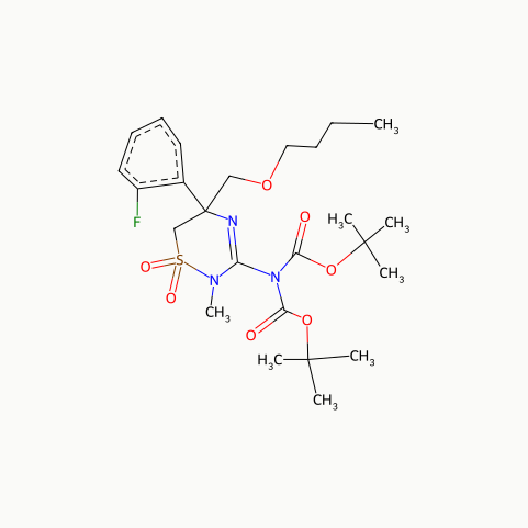 CCCCOCC1(c2ccccc2F)CS(=O)(=O)N(C)C(N(C(=O)OC(C)(C)C)C(=O)OC(C)(C)C)=N1